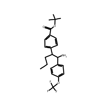 CCCC(c1ccc(C(=O)OC(C)(C)C)cc1)C(N)c1ccc(OC(F)(F)F)cc1